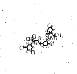 CN(NC(=O)c1cc(NC(=O)C2C(c3cc(Cl)cc(Cl)c3)C2(Cl)Cl)ccc1Cl)c1ccccn1